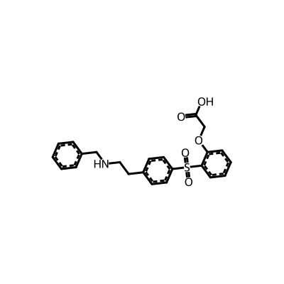 O=C(O)COc1ccccc1S(=O)(=O)c1ccc(CCNCc2ccccc2)cc1